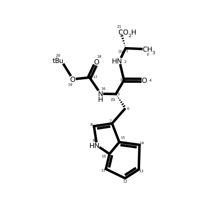 C[C@H](NC(=O)[C@H](Cc1c[nH]c2ccccc12)NC(=O)OC(C)(C)C)C(=O)O